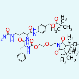 CC(C)(C)C(=O)OCc1ccc(NC(=O)[C@H](CCCNC(N)=O)NC(=O)[C@@H](Cc2ccccc2)NC(=O)OCCOCCN2C(=O)C(C(C)(C)C)C(C(C)(C)C)C2=O)cc1